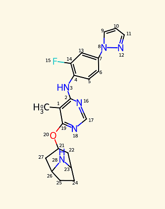 Cc1c(Nc2ccc(-n3cccn3)cc2F)ncnc1OC1CC2CCC(C1)N2